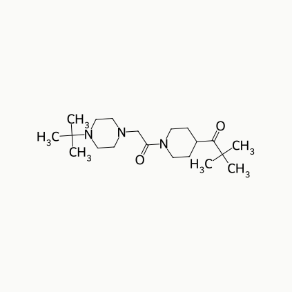 CC(C)(C)C(=O)C1CCN(C(=O)CN2CCN(C(C)(C)C)CC2)CC1